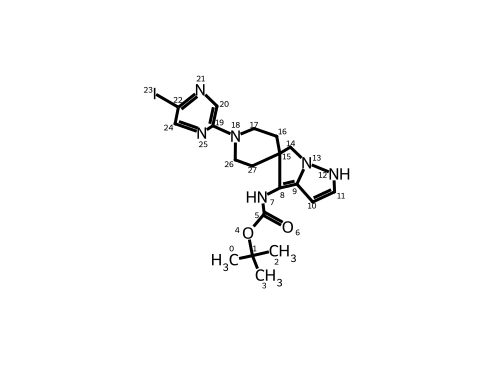 CC(C)(C)OC(=O)NC1=C2C=CNN2CC12CCN(c1cnc(I)cn1)CC2